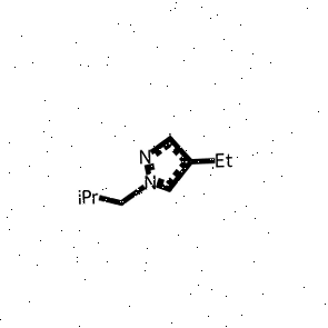 CCc1[c]nn(CC(C)C)c1